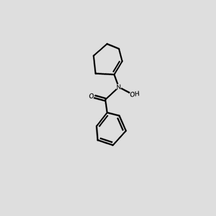 O=C(c1ccccc1)N(O)C1=CCCCC1